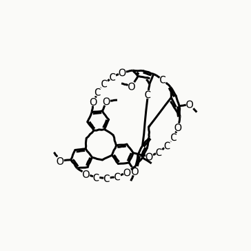 COc1cc2c3cc1OCCCOc1cc4c(cc1C)Cc1cc5c(OC)cc1Cc1cc(c(OC)cc1C4)OCCCOc1cc(c(cc1OC)Cc1cc(c(OC)cc1C3)OCCCO5)C2